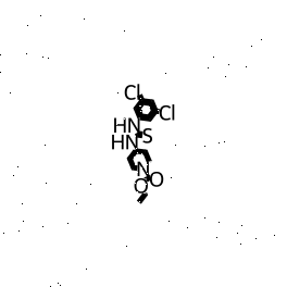 CCOC(=O)N1CCC(NC(=S)Nc2cc(Cl)cc(Cl)c2)CC1